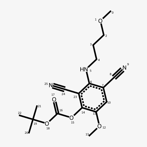 COCCCNc1c(C#N)cc(OC)c(OC(=O)OC(C)(C)C)c1C#N